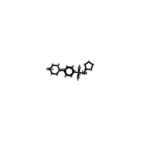 O=S(=O)(NC1CCCC1)c1ccc(N2CCNCC2)cc1